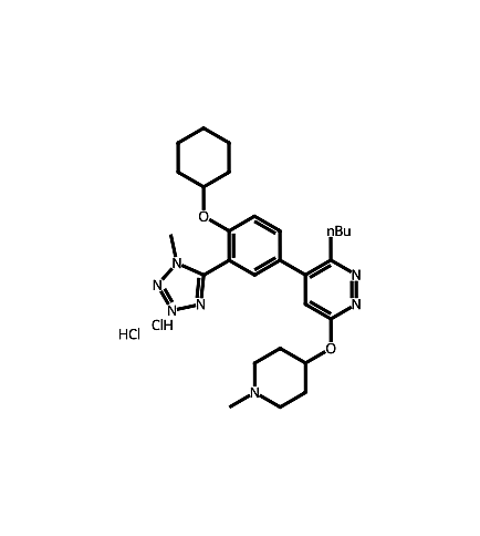 CCCCc1nnc(OC2CCN(C)CC2)cc1-c1ccc(OC2CCCCC2)c(-c2nnnn2C)c1.Cl.Cl